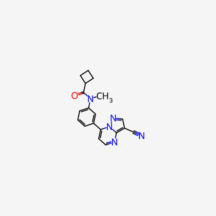 CN(C(=O)C1CCC1)c1cccc(-c2ccnc3c(C#N)cnn23)c1